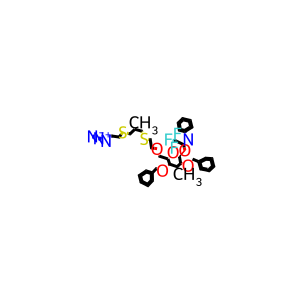 CC(CSCCN=[N+]=[N-])CSCCOCC1O[C@@H](O/C(=N/c2ccccc2)C(F)(F)F)C(OCc2ccccc2)[C@@H](C)[C@H]1OCc1ccccc1